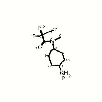 CN(C(=O)C(F)(F)F)C1CCC(N)CC1